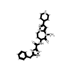 CN1C(=O)C(NC(=O)c2n[nH]c(Cc3ccccc3)n2)CCn2nc(C3CCOCC3)cc21